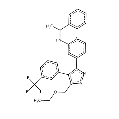 CCOCn1nnc(-c2ccnc(NC(C)c3ccccc3)c2)c1-c1cccc(C(F)(F)F)c1